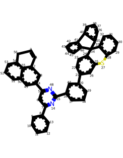 C1=Cc2cc(-c3cc(-c4ccccc4)nc(-c4cccc(-c5ccc6c(c5)Sc5ccccc5C65c6ccccc6-c6ccccc65)c4)n3)cc3cccc(c23)C1